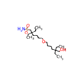 CCC(CC)(CO)CCCCOCCCCC(CC)(CC)CS(N)(=O)=O